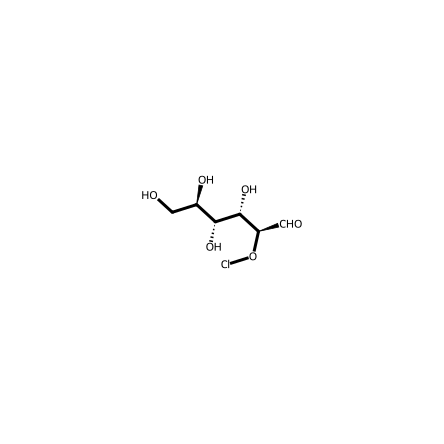 O=C[C@@H](OCl)[C@@H](O)[C@H](O)[C@H](O)CO